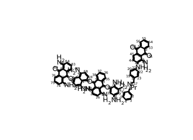 CC(C)c1ccccc1.Cc1cc(N)ccc1N.NCc1ccccc1.Nc1ccc(N)c2c1C(=O)c1ccccc1C2=O.Nc1ccc2c(c1N)C(=O)c1ccccc1C2=O.Nc1cccc2c(N)cccc12.Nc1cccc2c1C(=O)c1cccc(N)c1C2=O